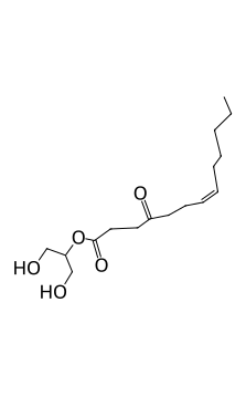 CCCCC/C=C\CCC(=O)CCC(=O)OC(CO)CO